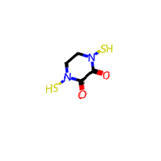 O=C1C(=O)N(S)CCN1S